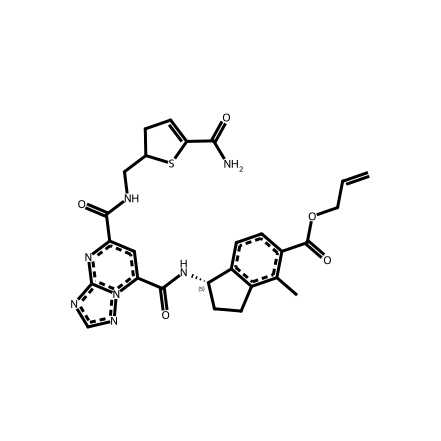 C=CCOC(=O)c1ccc2c(c1C)CC[C@@H]2NC(=O)c1cc(C(=O)NCC2CC=C(C(N)=O)S2)nc2ncnn12